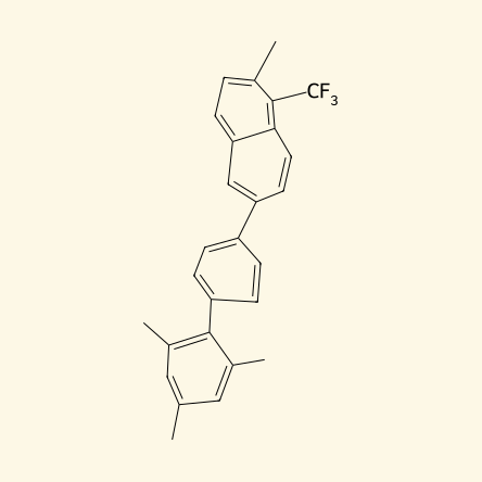 Cc1cc(C)c(-c2ccc(-c3ccc4c(C(F)(F)F)c(C)ccc4c3)cc2)c(C)c1